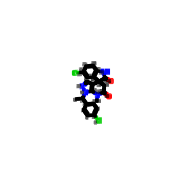 CC(c1ccc(Cl)cc1)n1ncc2c1N(C)C(=O)CC21C(=O)Nc2ccc(Cl)cc21